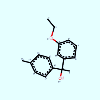 CCOc1cccc(C(C)(O)c2ccc(C)cc2)c1